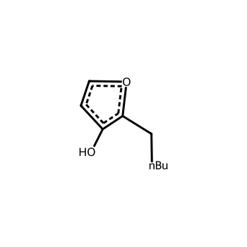 CCCCCc1occc1O